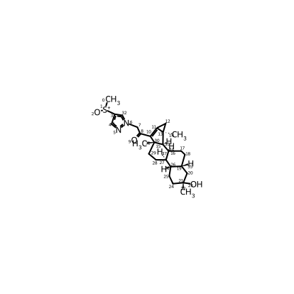 C[S+]([O-])c1cnn(CC(=O)C2=C3C[C@@]3(C)[C@H]3[C@@H]4CC[C@@H]5C[C@](C)(O)CC[C@@H]5[C@H]4CC[C@]23C)c1